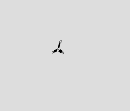 [O]=[V](=[O])[Cl]